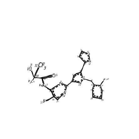 O=C(Nc1nc(-c2cc(-c3ccon3)n(Cc3ccccc3F)n2)ncc1F)C(O)(C(F)(F)F)C(F)(F)F